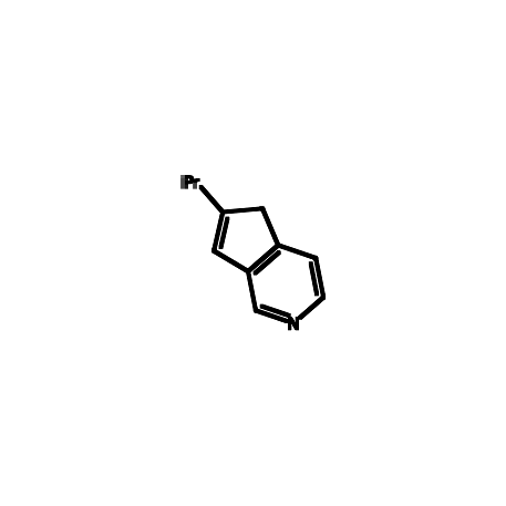 CC(C)C1=Cc2cnccc2C1